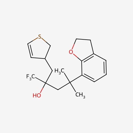 CC(C)(CC(O)(CC1C=CSC1)C(F)(F)F)c1cccc2c1OCC2